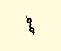 Fc1ccc(C=Cc2ccc(F)cc2)cc1